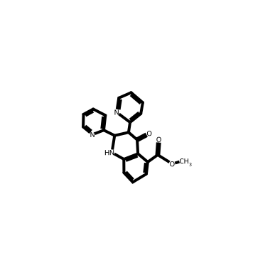 COC(=O)c1cccc2c1C(=O)C(c1ccccn1)C(c1ccccn1)N2